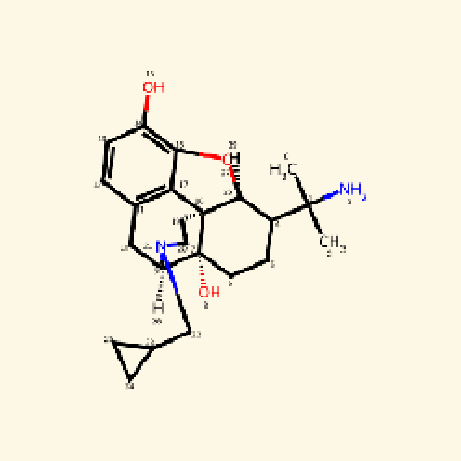 CC(C)(N)C1CC[C@@]2(O)[C@H]3Cc4ccc(O)c5c4[C@@]2(CCN3CC2CC2)[C@H]1O5